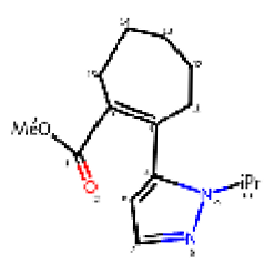 COC(=O)C1=C(c2ccnn2C(C)C)CCCCC1